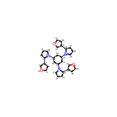 c1cc(-c2ccoc2)n(-c2cc(-n3cccc3-c3ccoc3)cc(-n3cccc3-c3ccoc3)c2)c1